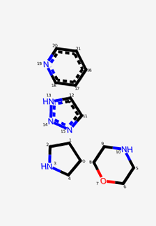 C1CCNC1.C1COCCN1.c1c[nH]nn1.c1ccncc1